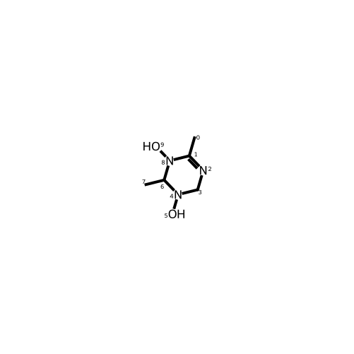 CC1=NCN(O)C(C)N1O